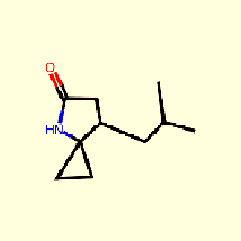 CC(C)CC1CC(=O)NC12CC2